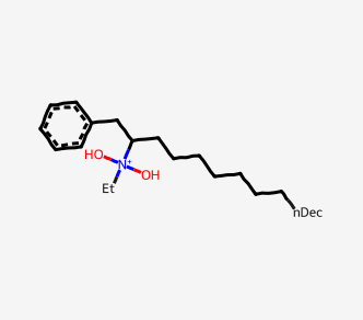 CCCCCCCCCCCCCCCCCC(Cc1ccccc1)[N+](O)(O)CC